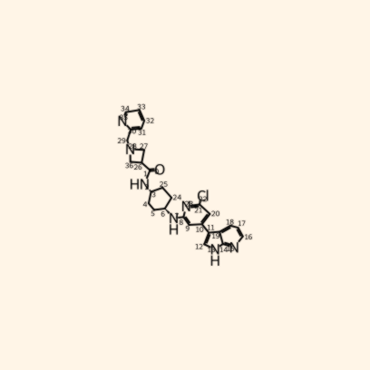 O=C(N[C@H]1CC[C@H](Nc2cc(-c3c[nH]c4ncccc34)cc(Cl)n2)CC1)C1CN(Cc2ccccn2)C1